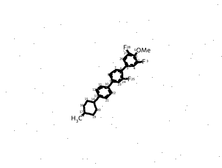 COc1c(F)cc(-c2ccc(-c3ccc(C4CCC(C)CC4)cc3)cc2F)cc1F